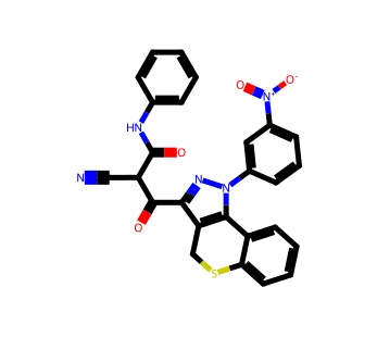 N#CC(C(=O)Nc1ccccc1)C(=O)c1nn(-c2cccc([N+](=O)[O-])c2)c2c1CSc1ccccc1-2